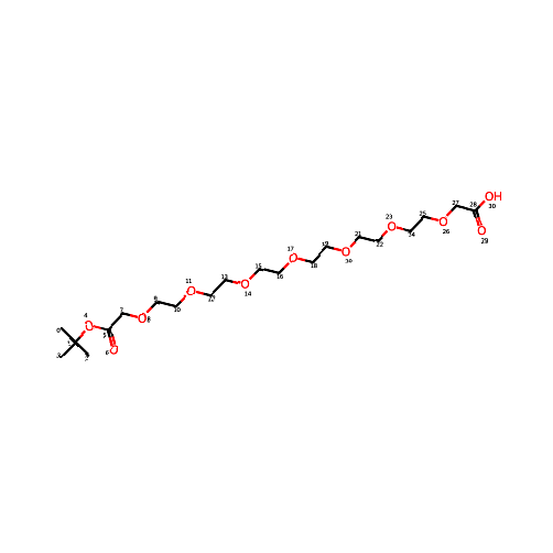 CC(C)(C)OC(=O)COCCOCCOCCOCCOCCOCCOCC(=O)O